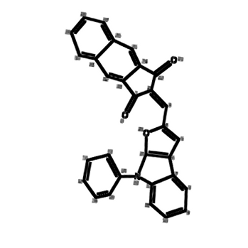 O=C1C(=Cc2cc3c4ccccc4n(-c4ccccc4)c3o2)C(=O)c2cc3ccccc3cc21